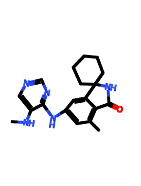 CNc1cncnc1Nc1cc(C)c2c(c1)C1(CCCCC1)NC2=O